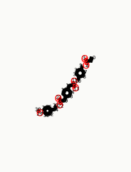 C=CC(=O)OCC1CCC(COC(=O)CC2CCC(CC(=O)OCCc3ccc(OC)cc3)CC2)CC1